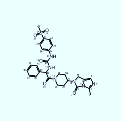 Cc1ncc2n1C(=O)N(C1CCN(C(=O)C(NC(=O)Nc3ccc(S(C)(=O)=O)cc3)c3ccccc3)CC1)C2